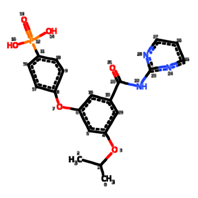 CC(C)Oc1cc(Oc2ccc(P(=O)(O)O)cc2)cc(C(=O)Nc2ncccn2)c1